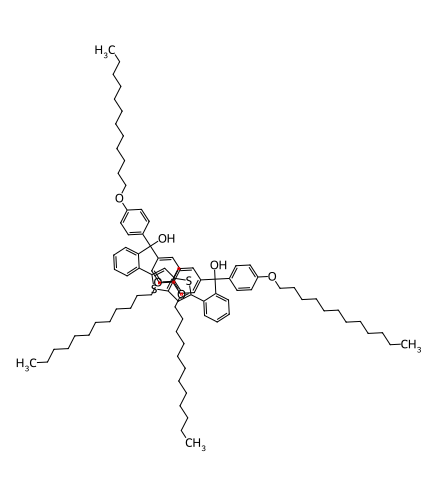 CCCCCCCCCCCCOc1ccc(C(O)(c2ccc(OCCCCCCCCCCCC)cc2)c2ccccc2-c2cc3sc(-c4ccccc4C(O)(c4ccc(OCCCCCCCCCCCC)cc4)c4ccc(OCCCCCCCCCCCC)cc4)cc3s2)cc1